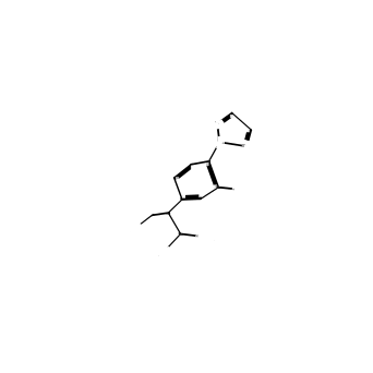 CCC(c1ccc(-n2nccn2)c(O)c1)C(C)C